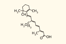 CC1=C(/C=C/C(C)=C/C=C/C(C)=C/C(=O)O)C(C)(C)CCC1.O